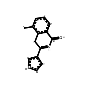 Cc1cccc2c1CC(c1ccsc1)=NC2=O